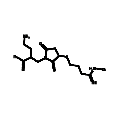 CC[SiH2]C(=N)CCCSC1CC(=O)N(CC(CCN)C(=O)C(C)C)C1=O